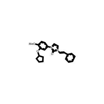 COc1ccc(-n2ccn(/C=C/c3ccccc3)c2=O)cc1OC1CCCC1